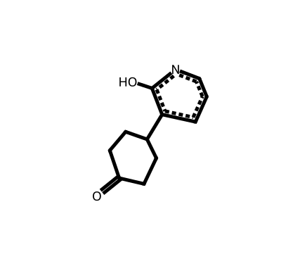 O=C1CCC(c2cccnc2O)CC1